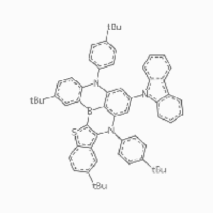 CC(C)(C)c1ccc(N2c3ccc(C(C)(C)C)cc3B3c4sc5ccc(C(C)(C)C)cc5c4N(c4ccc(C(C)(C)C)cc4)c4cc(-n5c6ccccc6c6ccccc65)cc2c43)cc1